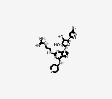 CCc1cc([C@H]2O[C@@H](n3cnc4c(NC5CCSCC5)nc(NCCNC(=N)N)nc43)[C@H](O)C2O)on1